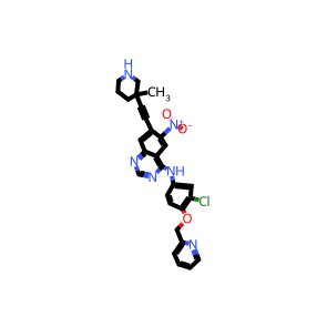 CC1(C#Cc2cc3ncnc(Nc4ccc(OCc5ccccn5)c(Cl)c4)c3cc2[N+](=O)[O-])CCCNC1